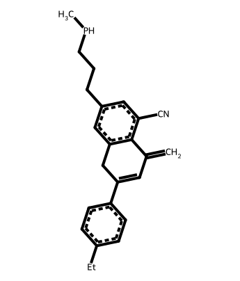 C=C1C=C(c2ccc(CC)cc2)Cc2cc(CCCPC)cc(C#N)c21